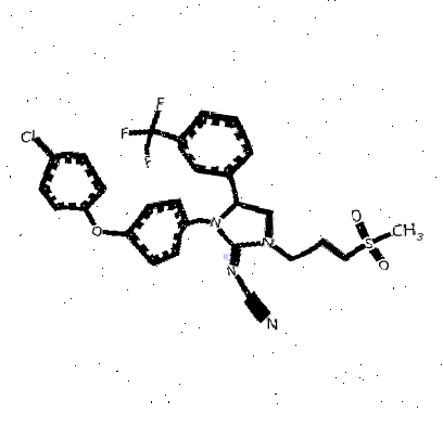 CS(=O)(=O)CCCN1CC(c2cccc(C(F)(F)F)c2)N(c2ccc(Oc3ccc(Cl)cc3)cc2)/C1=N/C#N